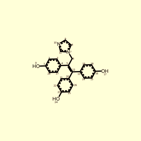 Oc1ccc(C(Cn2ccnc2)=C(c2ccc(O)cc2)c2ccc(O)cc2)cc1